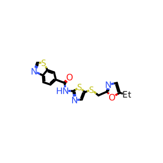 CCc1cnc(CSc2cnc(NC(=O)c3ccc4ncsc4c3)s2)o1